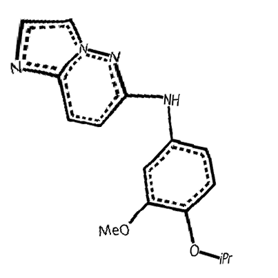 COc1cc(Nc2ccc3nccn3n2)ccc1OC(C)C